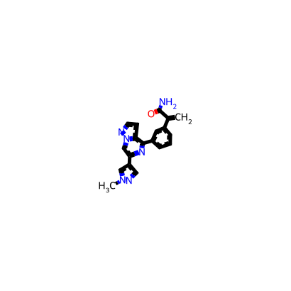 C=C(C(N)=O)c1cccc(-c2nc(-c3cnn(C)c3)cn3nccc23)c1